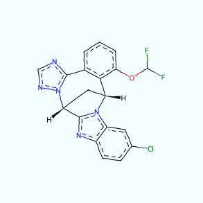 FC(F)Oc1cccc2c1[C@H]1C[C@H](c3nc4ccc(Cl)cc4n31)n1ncnc1-2